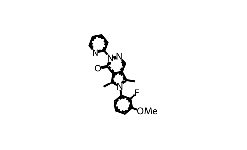 COc1cccc(-n2c(C)c3cnn(-c4ccccn4)c(=O)c3c2C)c1F